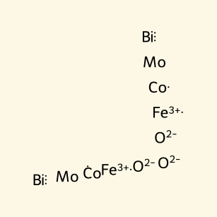 [Bi].[Bi].[Co].[Co].[Fe+3].[Fe+3].[Mo].[Mo].[O-2].[O-2].[O-2]